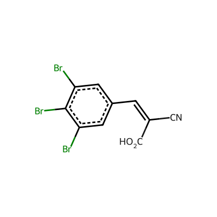 N#CC(=Cc1cc(Br)c(Br)c(Br)c1)C(=O)O